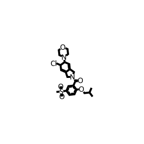 CC(C)COc1ccc(S(C)(=O)=O)cc1C(=O)N1CC2=CC(Cl)C(N3CCOCC3)C=C2C1